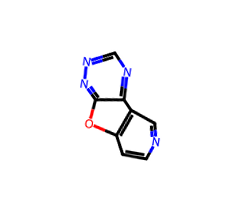 c1cc2oc3nncnc3c2cn1